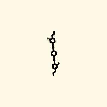 CCCc1ccc(C#Cc2ccc(C#Cc3ccc(CCC)c(F)c3)cc2)c(F)c1